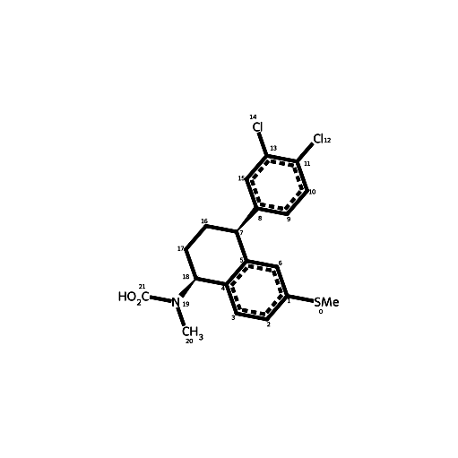 CSc1ccc2c(c1)[C@H](c1ccc(Cl)c(Cl)c1)CC[C@@H]2N(C)C(=O)O